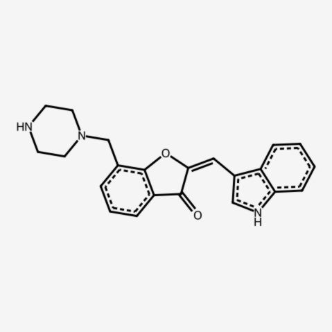 O=C1C(=Cc2c[nH]c3ccccc23)Oc2c(CN3CCNCC3)cccc21